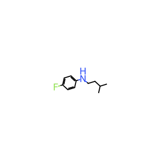 CC(C)CCNc1ccc(F)cc1